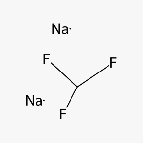 FC(F)F.[Na].[Na]